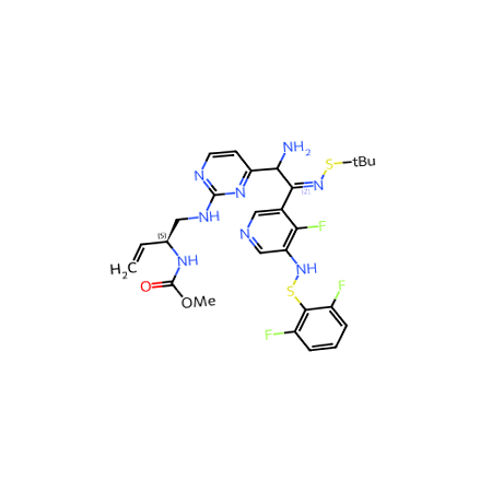 C=C[C@@H](CNc1nccc(C(N)/C(=N\SC(C)(C)C)c2cncc(NSc3c(F)cccc3F)c2F)n1)NC(=O)OC